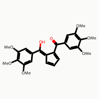 COc1cc(C(=O)C2=CC=CC2=C(O)c2cc(OC)c(OC)c(OC)c2)cc(OC)c1OC